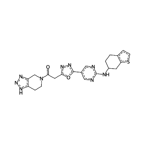 O=C(Cc1nnc(-c2cnc(NC3CCc4ccsc4C3)nc2)o1)N1CCc2[nH]nnc2C1